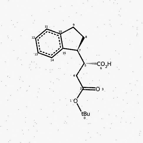 CC(C)(C)OC(=O)C[C@@H](C(=O)O)[C@@H]1CCc2ccccc21